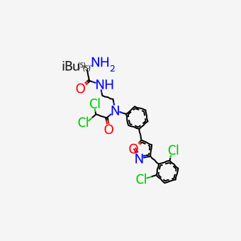 CC[C@H](C)[C@H](N)C(=O)NCCN(C(=O)C(Cl)Cl)c1cccc(-c2cc(-c3c(Cl)cccc3Cl)no2)c1